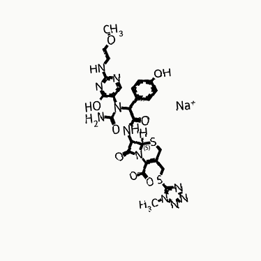 COCCNc1ncc(N(C(N)=O)C(C(=O)NC2C(=O)N3C(C(=O)[O-])=C(CSc4nnnn4C)CS[C@@H]23)c2ccc(O)cc2)c(O)n1.[Na+]